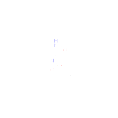 O=C(N[C@H]1CCCN(S(=O)(=O)c2ccc(F)cc2)C1)C1CCCCC1